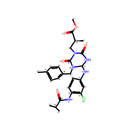 COC(=O)[C@@H](C)CN1C(=O)NC(Nc2ccc(NC(=O)C(C)C)c(Cl)c2)N(Cc2ccc(C)cc2)C1=O